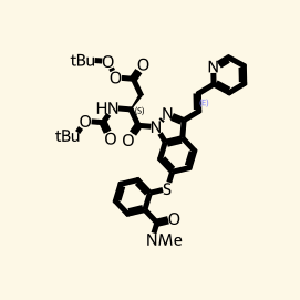 CNC(=O)c1ccccc1Sc1ccc2c(/C=C/c3ccccn3)nn(C(=O)[C@H](CC(=O)OOC(C)(C)C)NC(=O)OC(C)(C)C)c2c1